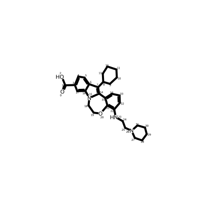 O=C(O)c1ccc2c(C3CCCCC3)c3n(c2c1)CCOc1c(NCCN2CCCCC2)cccc1-3